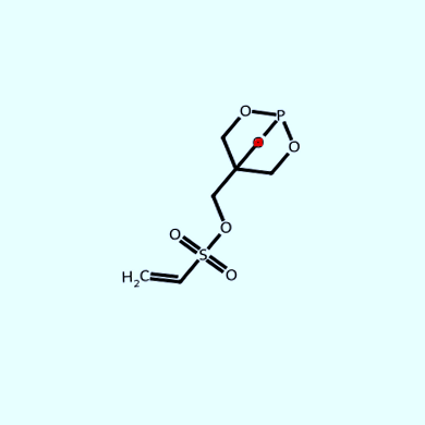 C=CS(=O)(=O)OCC12COP(OC1)OC2